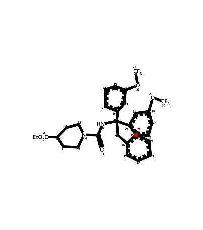 CCOC(=O)C1CCN(C(=O)NC(Cc2ccccc2)(c2cccc(OC(F)(F)F)c2)c2cccc(OC(F)(F)F)c2)CC1